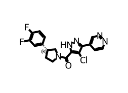 O=C(c1[nH]nc(-c2ccnnc2)c1Cl)N1CC[C@H](c2ccc(F)c(F)c2)C1